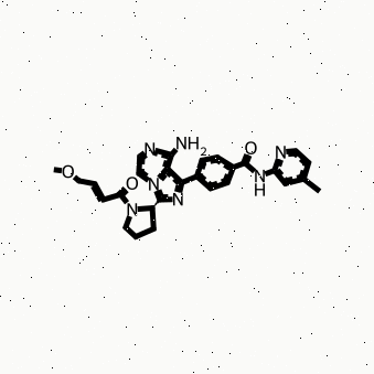 COC/C=C/C(=O)N1CCC[C@H]1c1nc(-c2ccc(C(=O)Nc3cc(C)ccn3)cc2)c2c(N)nccn12